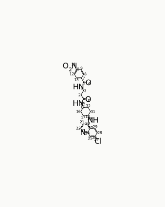 O=C(CCNC(=O)c1ccc([N+](=O)[O-])cc1)N[C@H]1CC[C@@H](Nc2ccnc3cc(Cl)ccc23)CC1